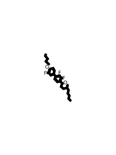 CCCCCOc1ccc(-c2ccc(C3CCC(CCCCC)CO3)c(F)c2F)cc1F